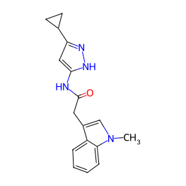 Cn1cc(CC(=O)Nc2cc(C3CC3)n[nH]2)c2ccccc21